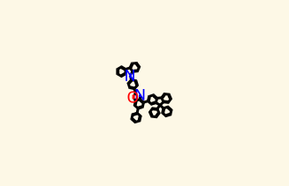 c1ccc(-c2cc(-c3ccc4c(c3)C(c3ccccc3)(c3ccccc3)c3ccccc3-4)c3nc(-c4ccc(-n5c6ccccc6c6ccccc65)cc4)oc3c2)cc1